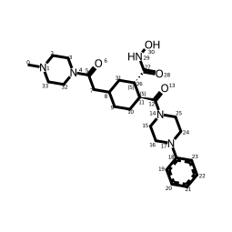 CN1CCN(C(=O)CC2CC[C@H](C(=O)N3CCN(c4ccccc4)CC3)[C@@H](C(=O)NO)C2)CC1